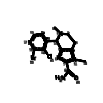 CN1CCc2c(nc(C(N)=O)n2C)C1c1ccnc(Br)c1Cl